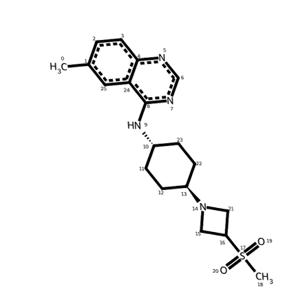 Cc1ccc2ncnc(N[C@H]3CC[C@H](N4CC(S(C)(=O)=O)C4)CC3)c2c1